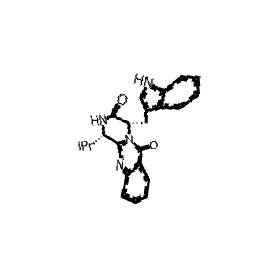 CC(C)[C@@H]1NC(=O)[C@H](Cc2c[nH]c3ccccc23)n2c1nc1ccccc1c2=O